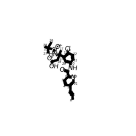 CC#Cc1ccc(C(=O)Nc2ccc(Cl)c(C(C)(CC(=O)O)N[S@+]([O-])C(C)(C)C)c2)nc1